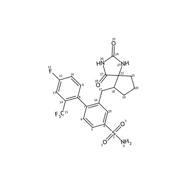 NS(=O)(=O)c1ccc(-c2ccc(F)cc2C(F)(F)F)c(CC2CCCC23NC(=O)NC3=O)c1